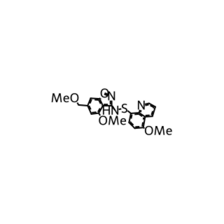 COCc1cc(OC)c2c(NSc3ccc(OC)c4cccnc34)noc2c1